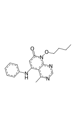 CCCCOn1c(=O)cc(Nc2ccccc2)c2c(C)ncnc21